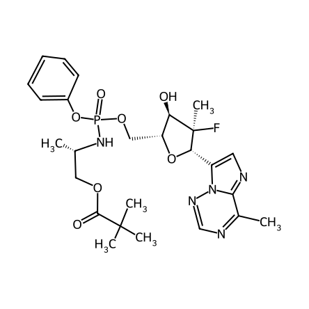 Cc1ncnn2c([C@@H]3O[C@H](COP(=O)(N[C@@H](C)COC(=O)C(C)(C)C)Oc4ccccc4)[C@@H](O)[C@@]3(C)F)cnc12